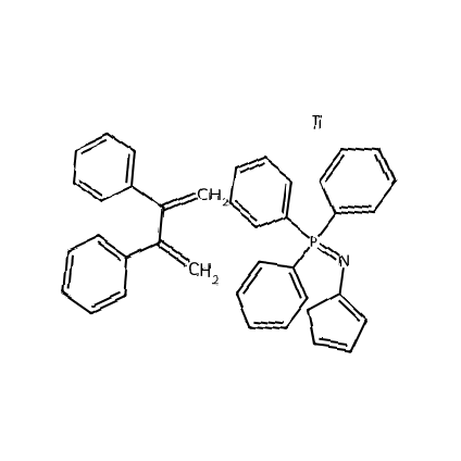 C1=CCC(N=P(c2ccccc2)(c2ccccc2)c2ccccc2)=C1.C=C(C(=C)c1ccccc1)c1ccccc1.[Ti]